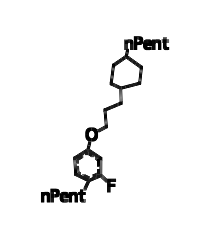 CCCCCc1ccc(OCCCC2CCC(CCCCC)CC2)cc1F